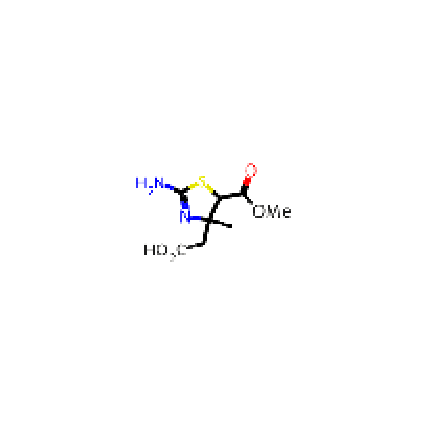 COC(=O)C1SC(N)=NC1(C)CC(=O)O